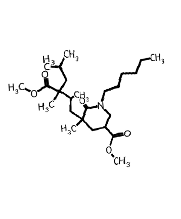 CCCCCCN1CC(C(=O)OC)CC(C)(CC(C)C(C)(CC(C)C)C(=O)OC)C1=O